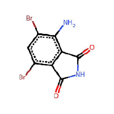 Nc1c(Br)cc(Br)c2c1C(=O)NC2=O